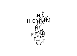 Cc1cnc(Nc2ccnn2C)nc1-c1cc2n(c1)C[C@H](CF)n1c-2nnc1C(F)(F)c1c(F)cccc1F